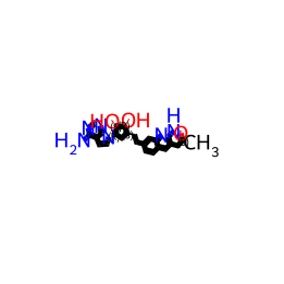 C[C@H]1Cc2cc3ccc(CC[C@H]4C[C@@H](n5ccc6c(N)ncnc65)[C@H](O)[C@@H]4O)cc3nc2NO1